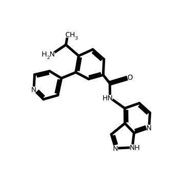 CC(N)c1ccc(C(=O)Nc2ccnc3[nH]ncc23)cc1-c1ccncc1